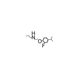 CCCNCCOc1ccc(C(C)C)cc1F